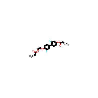 C=CC(=O)O/C=C\Oc1ccc(-c2ccc(OC(=O)C=C)cc2F)cc1F